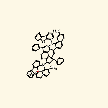 Cc1ccc2ccc(C)c(N(c3cc(-c4ccccc4)c4cc5c6c(cc(-c7ccccc7)c7ccc3c4c76)N(c3cccc4c3oc3ccccc34)c3c-5ccc4ccc(C)cc34)c3cccc4c3oc3ccccc34)c2c1